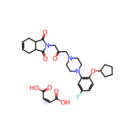 O=C(CN1CCN(c2cc(F)ccc2OC2CCCC2)CC1)CN1C(=O)C2CC=CCC2C1=O.O=C(O)/C=C\C(=O)O